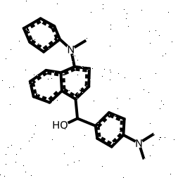 CN(C)c1ccc(C(O)c2ccc(N(C)c3ccccc3)c3ccccc23)cc1